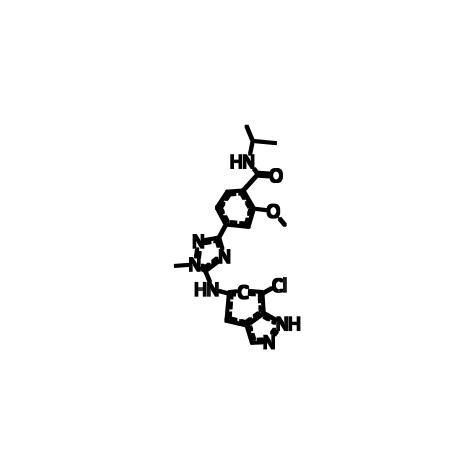 COc1cc(-c2nc(Nc3cc(Cl)c4[nH]ncc4c3)n(C)n2)ccc1C(=O)NC(C)C